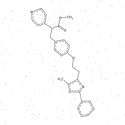 COC(=O)C(Cc1ccc(OCCc2nc(-c3ccccc3)oc2C)cc1)c1ccncc1